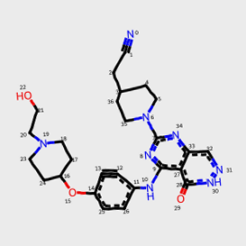 N#CCC1CCN(c2nc(Nc3c#cc(OC4CCN(CCO)CC4)cc3)c3c(=O)[nH]ncc3n2)CC1